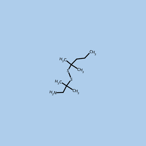 CCCC(C)(C)SSC(C)(C)CN